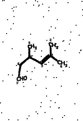 CC(C)=CC(C)CC=O